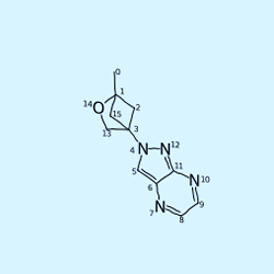 CC12CC(n3cc4nccnc4n3)(CO1)C2